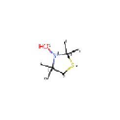 CC1(C)CSC(C)(C)N1O